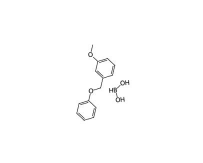 COc1cccc(COc2ccccc2)c1.OBO